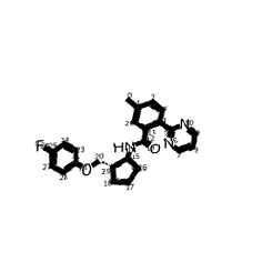 Cc1ccc(-c2ncccn2)c(C(=O)NC2CCC[C@@H]2COc2ccc(F)cc2)c1